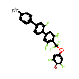 CCCc1ccc(-c2ccc(-c3cc(F)c(C(F)(F)Oc4cc(F)c(Br)c(F)c4)c(F)c3)c(F)c2)cc1